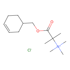 CC(C)(C(=O)OCC1CC=CCC1)[N+](C)(C)C.[Cl-]